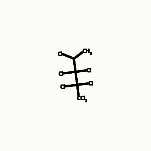 CC(Cl)C(Cl)(Cl)C(Cl)(Cl)C(Cl)(Cl)Cl